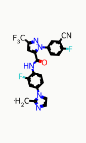 [CH2]c1nccn1-c1ccc(NC(=O)c2cc(C(F)(F)F)nn2-c2ccc(F)c(C#N)c2)c(F)c1